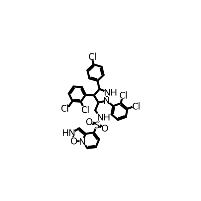 O=S(=O)(NCC1C(c2cccc(Cl)c2Cl)C(c2ccc(Cl)cc2)NN1c1cccc(Cl)c1Cl)C1=CC=CN2ONC=C12